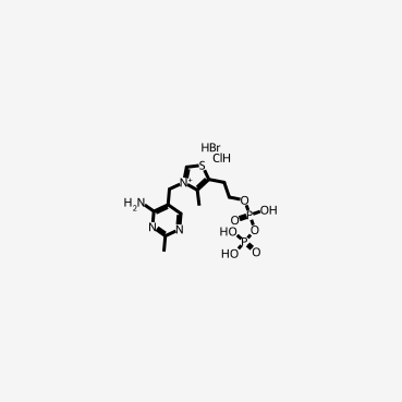 Br.Cc1ncc(C[n+]2csc(CCOP(=O)(O)OP(=O)(O)O)c2C)c(N)n1.Cl